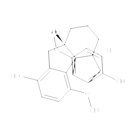 COc1ccc(C)c2c1C13c4c(OC)ccc(C)c4C[C@@H]1CCC[C@H]3C2